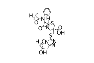 CC(=O)N(c1ccccc1)C1C(=O)N2CC(CSc3nnc(CC(=O)O)n3C)(C(=O)O)CS[C@H]12